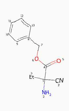 CCC(N)(C#N)C(=O)OCc1ccccc1